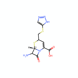 NC1C(=O)N2C(C(=O)O)=CC(CSc3cnn[nH]3)S[C@@H]12